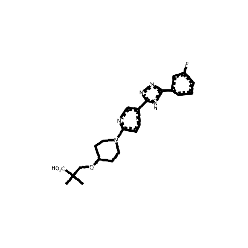 CC(C)(COC1CCN(c2ccc(-c3nnc(-c4cccc(F)c4)[nH]3)cn2)CC1)C(=O)O